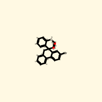 Brc1ccc2c(c1)C1(Cc3ccccc3-2)c2ccccc2Oc2ccccc21